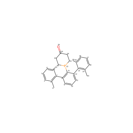 Cc1cccc(C)c1-c1cccc(-c2c(C)cccc2C)c1P1CCC(=O)CC1